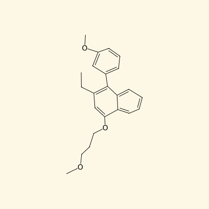 CCc1cc(OCCCOC)c2ccccc2c1-c1cccc(OC)c1